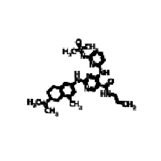 C=CCNC(=O)c1cnc(Nc2cc(C)c3c(c2)CCC(N(C)C)C3)nc1Nc1cccc(N=S(C)(C)=O)n1